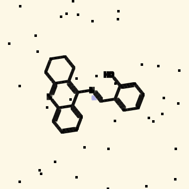 Oc1ccccc1/C=N/c1c2c(nc3ccccc13)CCCC2